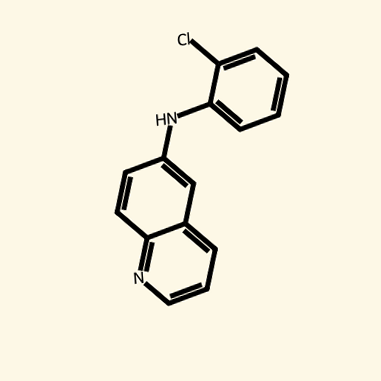 Clc1ccccc1Nc1ccc2ncccc2c1